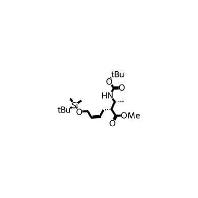 COC(=O)[C@H](C/C=C\CO[Si](C)(C)C(C)(C)C)[C@@H](C)NC(=O)OC(C)(C)C